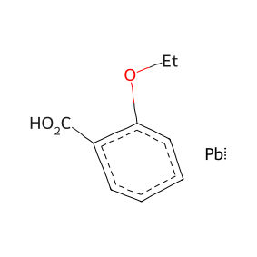 CCOc1ccccc1C(=O)O.[Pb]